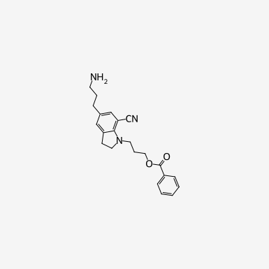 N#Cc1cc(CCCN)cc2c1N(CCCOC(=O)c1ccccc1)CC2